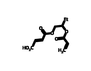 C=CC(=O)OC(CC)COC(=O)C=CC(=O)O